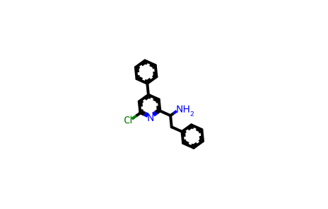 NC(Cc1ccccc1)c1cc(-c2ccccc2)cc(Cl)n1